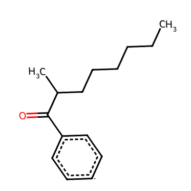 CCCCCCC(C)C(=O)c1cc[c]cc1